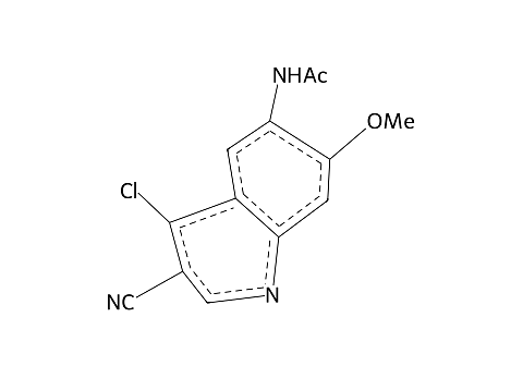 COc1cc2ncc(C#N)c(Cl)c2cc1NC(C)=O